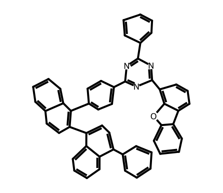 c1ccc(-c2nc(-c3ccc(-c4c(-c5ccc(-c6ccccc6)c6ccccc56)ccc5ccccc45)cc3)nc(-c3cccc4c3oc3ccccc34)n2)cc1